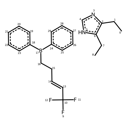 CCc1nc[nH]c1CC.FC(F)(F)C=CCCB(c1ccccc1)c1ccccc1